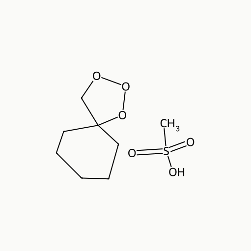 C1CCC2(CC1)COOO2.CS(=O)(=O)O